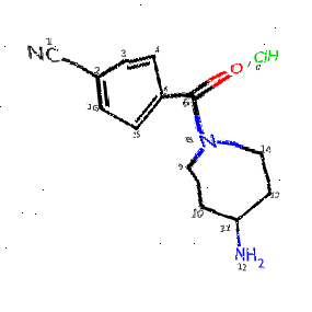 Cl.N#Cc1ccc(C(=O)N2CCC(N)CC2)cc1